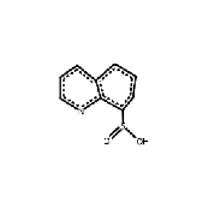 O=S(O)c1cccc2cccnc12